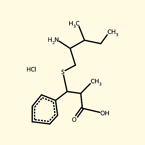 CCC(C)C(N)CSC(c1ccccc1)C(C)C(=O)O.Cl